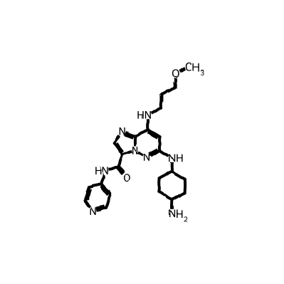 COCCCNc1cc(NC2CCC(N)CC2)nn2c(C(=O)Nc3ccncc3)cnc12